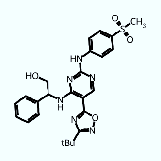 CC(C)(C)c1noc(-c2cnc(Nc3ccc(S(C)(=O)=O)cc3)nc2N[C@H](CO)c2ccccc2)n1